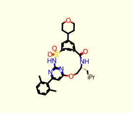 Cc1cccc(C)c1-c1cc2nc(n1)NS(=O)(=O)c1cc(cc(C3CCOCC3)c1)C(=O)N[C@H](CC(C)C)CO2